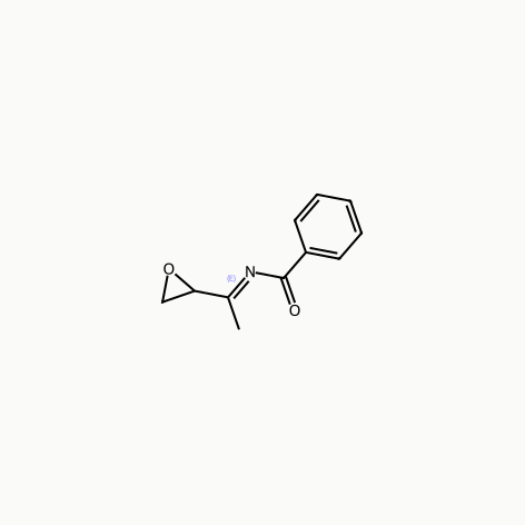 C/C(=N\C(=O)c1ccccc1)C1CO1